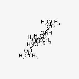 C=C(C)C(=O)OCCNC(=O)OC(C)(C)CCC(C)(C)OC(=O)NCCOC(=O)C(=C)C